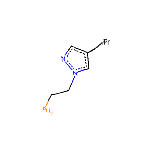 CC(C)c1cnn(CCP)c1